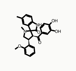 COc1ccccc1[C@H]1CN(C)C2(C(=O)Nc3ccc(C)cc32)[C@H]1C(=O)c1ccc(O)c(O)c1